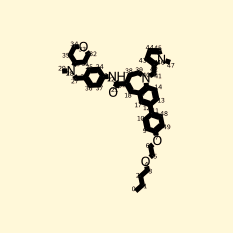 CCCCOCCOc1ccc(-c2ccc3c(c2)C=C(C(=O)Nc2ccc(CN(C)C4CCOCC4)cc2)CCN3Cc2cccn2C)cc1